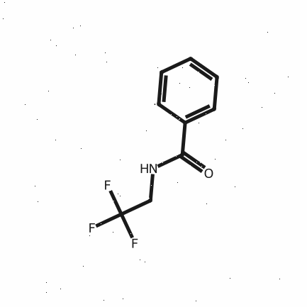 O=C(NCC(F)(F)F)c1[c]cccc1